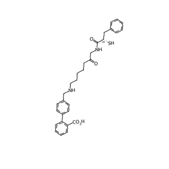 O=C(CCCCCNCc1ccc(-c2ccccc2C(=O)O)cc1)CNC(=O)[C@@H](S)Cc1ccccc1